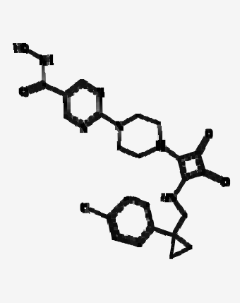 O=C(NO)c1cnc(N2CCN(c3c(NCC4(c5ccc(Cl)cc5)CC4)c(=O)c3=O)CC2)nc1